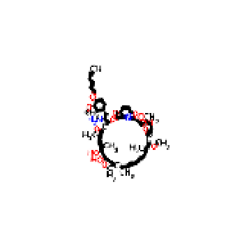 C#CCCCCO[C@@H]1CC[C@@H](C[C@@H](N)[C@@H]2CC(=O)[C@H](C)/C=C(\C)[C@@H](O)[C@@H](O)C(=O)[C@H](C)C[C@H](C)/C=C/C=C/C=C(\C)[C@@H](OC)C[C@@H]3CC[C@@H](C)[C@@](O)(O3)C(=O)C(=O)N3CCCC[C@H]3C(=O)O2)C[C@H]1OC